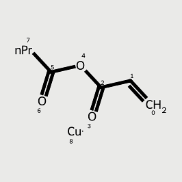 C=CC(=O)OC(=O)CCC.[Cu]